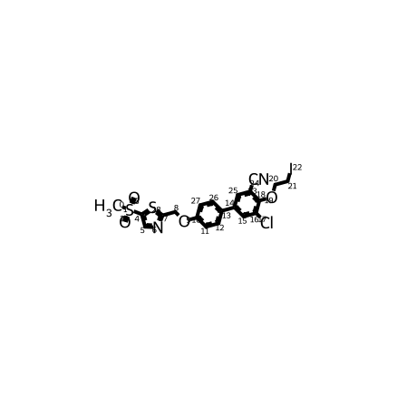 CS(=O)(=O)c1cnc(COc2ccc(-c3cc(Cl)c(OCCI)c(C#N)c3)cc2)s1